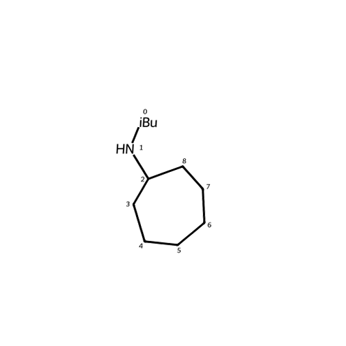 CCC(C)NC1CCCCCC1